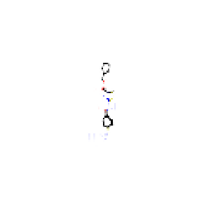 NSc1ccc(C(=O)NC2NC(C(=O)OCC3CCCC3)=CS2)cc1